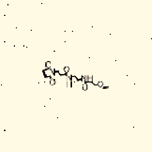 CCOCCC(=O)NCCNC(=O)CCN1C(=O)C=CC1=O